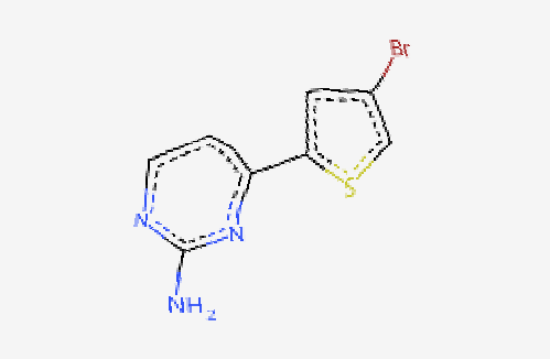 Nc1nccc(-c2cc(Br)cs2)n1